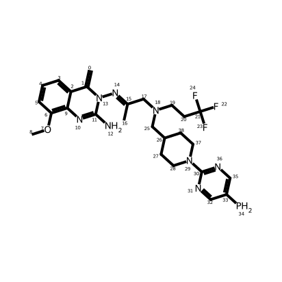 C=C1c2cccc(OC)c2N=C(N)N1/N=C(\C)CN(CCC(F)(F)F)CC1CCN(c2ncc(P)cn2)CC1